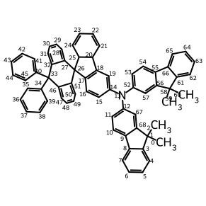 CC1(C)c2ccccc2-c2ccc(N(c3ccc4c(c3)C3C=CC=CC3C43c4ccccc4C(c4ccccc4)(c4ccccc4)c4ccccc43)c3ccc4c(c3)C(C)(C)c3ccccc3-4)cc21